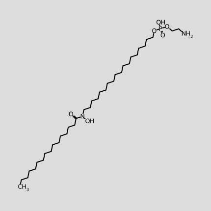 CCCCCCCCCCCCCCCC(=O)N(O)CCCCCCCCCCCCCCCCCCOP(=O)(O)OCCN